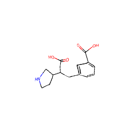 O=C(O)c1cccc(CC(C(=O)O)C2CCNC2)c1